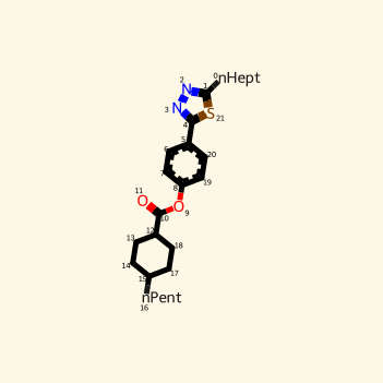 CCCCCCCc1nnc(-c2ccc(OC(=O)C3CCC(CCCCC)CC3)cc2)s1